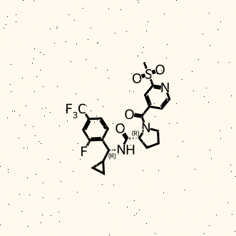 CS(=O)(=O)c1cc(C(=O)N2CCC[C@@H]2C(=O)N[C@@H](c2ccc(C(F)(F)F)cc2F)C2CC2)ccn1